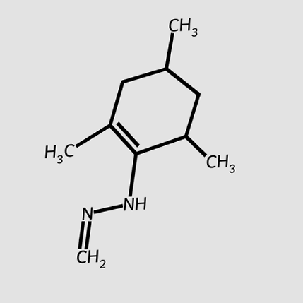 C=NNC1=C(C)CC(C)CC1C